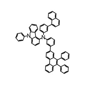 c1ccc(-c2c(-c3ccccc3)c3cc(-c4cccc(N(c5cccc(-c6cccc7ccccc67)c5)c5cccc6c5c5ccccc5n6-c5ccccc5)c4)ccc3c3ccccc23)cc1